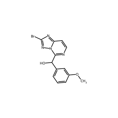 COc1cccc(C(O)c2nccc3nc(Br)nn23)c1